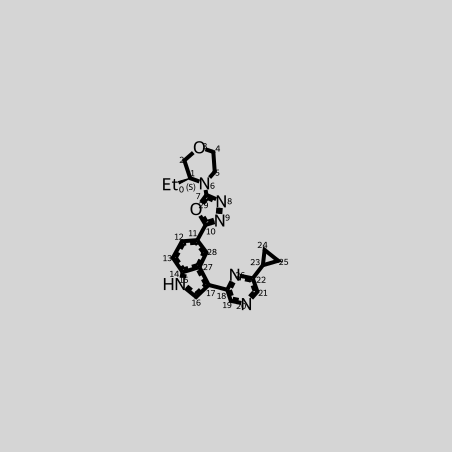 CC[C@H]1COCCN1c1nnc(-c2ccc3[nH]cc(-c4cncc(C5CC5)n4)c3c2)o1